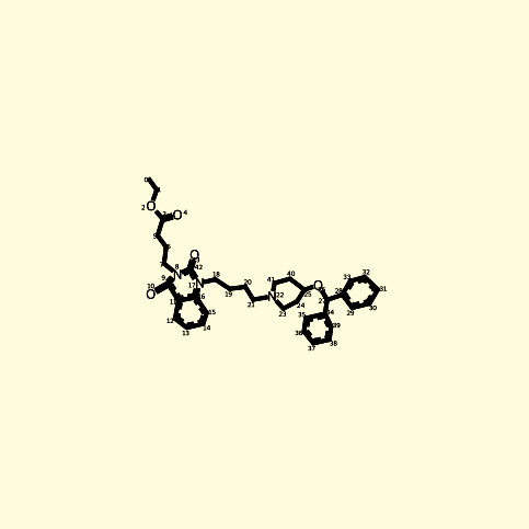 CCOC(=O)CCCn1c(=O)c2ccccc2n(CCCCN2CCC(OC(c3ccccc3)c3ccccc3)CC2)c1=O